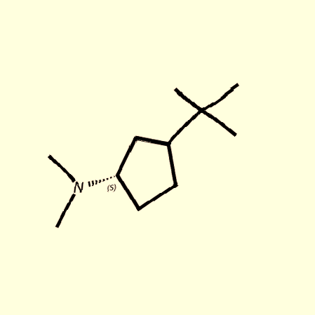 CN(C)[C@H]1CCC(C(C)(C)C)C1